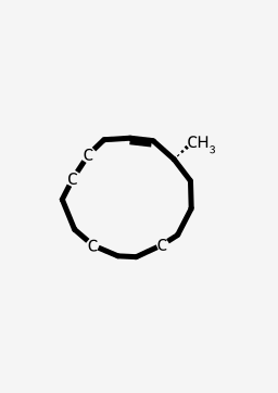 C[C@H]1/C=C\CCCCCCCCCCCC1